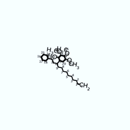 C=CCCCCCCCCC(CCc1ccccc1)c1cc(OC)c(OC)c(OC)c1O